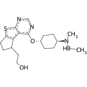 CBN(C)[C@H]1CC[C@H](Oc2ncnc3sc4c(c23)C(CCO)CC4)CC1